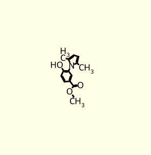 CCOC(=O)c1ccc(O)c(-n2c(C)ccc2C)c1